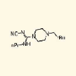 CCCN/C(=N\C#N)N1CCN(CC(C)(C)C)CC1